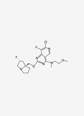 COCCN(C)c1nc(OC[C@@]23CCCN2C[C@H](F)C3)nc2c(F)c(Cl)ncc12